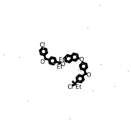 CCC(C)(Cl)c1ccc(C(=O)c2ccc(Oc3ccc4ccc(OC(CC)(CC)c5ccc(C(=O)c6ccc(Cl)cc6)cc5)cc4c3)cc2)cc1